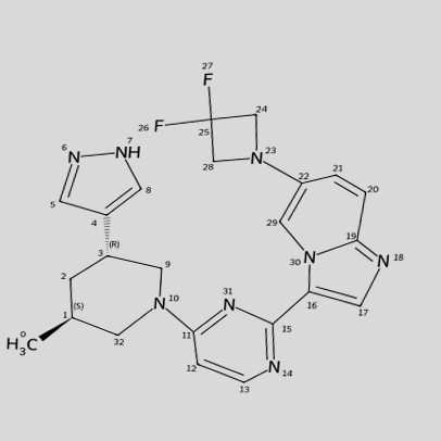 C[C@H]1C[C@H](c2cn[nH]c2)CN(c2ccnc(-c3cnc4ccc(N5CC(F)(F)C5)cn34)n2)C1